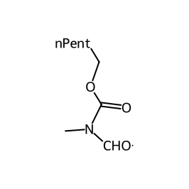 CCCCCCOC(=O)N(C)[C]=O